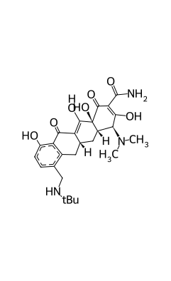 CN(C)[C@@H]1C(O)=C(C(N)=O)C(=O)[C@@]2(O)C(O)=C3C(=O)c4c(O)ccc(CNC(C)(C)C)c4C[C@H]3C[C@@H]12